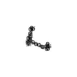 O=C(CCOCCOCCOCCOCC[n+]1c(-c2nc3ccc(OCCCS(=O)(=O)[O-])cc3o2)ccc2ccccc21)ON1C(=O)CCC1=O